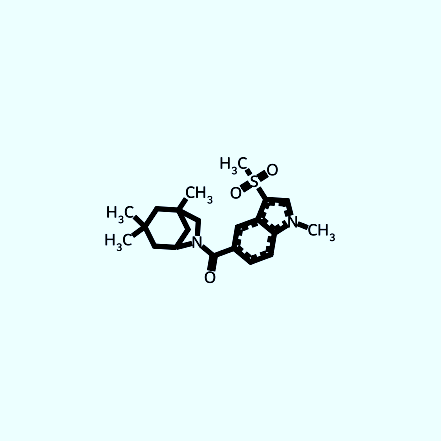 Cn1cc(S(C)(=O)=O)c2cc(C(=O)N3CC4(C)CC3CC(C)(C)C4)ccc21